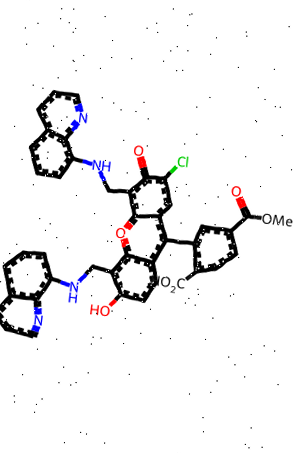 COC(=O)c1ccc(C(=O)O)c(-c2c3cc(Cl)c(=O)c(CNc4cccc5cccnc45)c-3oc3c(CNc4cccc5cccnc45)c(O)ccc23)c1